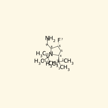 CC(C)(C)[C@@H]1C[C@@H](F)C(CN)N1C(C)(C)C